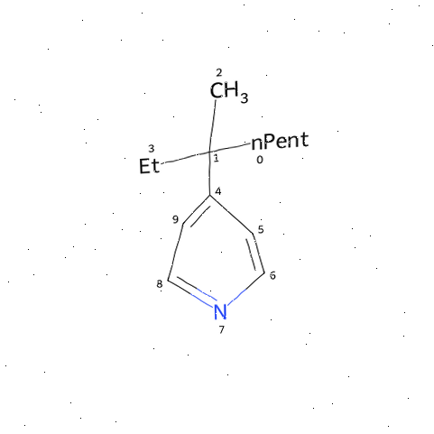 CCCCCC(C)(CC)c1ccncc1